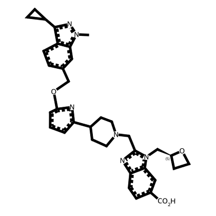 Cn1nc(C2CC2)c2ccc(COc3cccc(C4CCN(Cc5nc6ccc(C(=O)O)cc6n5C[C@@H]5CCO5)CC4)n3)cc21